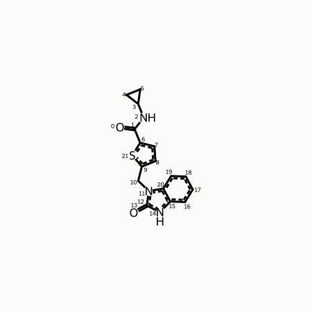 O=C(NC1CC1)c1ccc(Cn2c(=O)[nH]c3ccccc32)s1